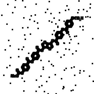 COC(=O)Oc1ccc(C(=O)Oc2ccc(C(=O)OC3COC4C(OC(=O)c5ccc(OC(=O)c6ccc(OC(=O)O)cc6)cc5)COC34)cc2)cc1